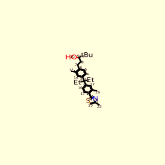 CCC(CC)(c1ccc(CCC(O)C(C)(C)C)c(C)c1)c1ccc(-c2nc(C)cs2)c(C)c1